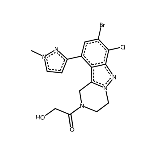 Cn1ccc(-c2cc(Br)c(Cl)c3nn4c(c23)CN(C(=O)CO)CC4)n1